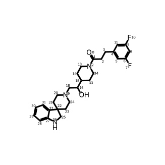 O=C(CCc1cc(F)cc(F)c1)N1CCC(C(O)CN2CCC3(CC2)CNc2ccccc23)CC1